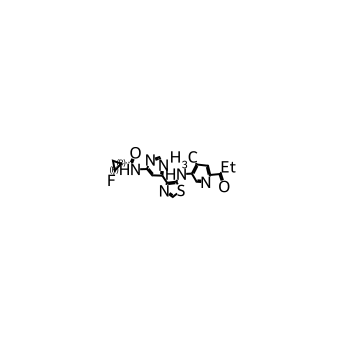 CCC(=O)c1cc(C)c(Nc2scnc2-c2cc(NC(=O)[C@H]3C[C@H]3F)ncn2)cn1